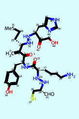 C=C(C(=O)[C@H](Cc1ccc(O)cc1)NC(=O)[C@H](CCCCN)NN[C@H](C=O)CS)[C@H](CCSC)NN[C@@H](Cc1c[nH]cn1)C(=O)CO